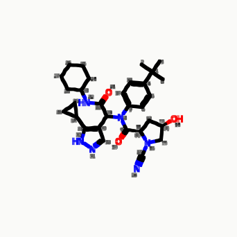 CC(C)(C)c1ccc(N(C(=O)[C@H]2C[C@@H](O)CN2C#N)C(C(=O)NC2CCCCC2)c2cn[nH]c2C2CC2)cc1